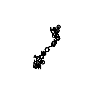 O=C1CCN(c2ncc3c(N4CCN(CCC5CCC(n6cc7cc(C(=O)Nc8cnc9cccnn89)c(OC8CC8)cc7n6)CC5)CC4)cccn23)C(=O)N1